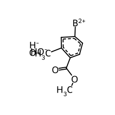 [B+2]c1ccc(C(=O)OC)c(C)c1.[OH-].[OH-]